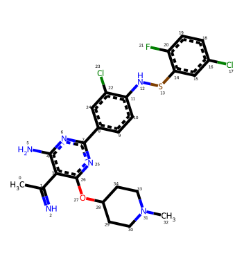 CC(=N)c1c(N)nc(-c2ccc(NSc3cc(Cl)ccc3F)c(Cl)c2)nc1OC1CCN(C)CC1